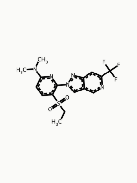 CCS(=O)(=O)c1ccc(N(C)C)nc1-n1cc2cnc(C(F)(F)F)cc2n1